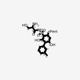 CCCCCc1cc(O)c(-c2cccc(C)c2)c(O)c1S(=O)(=O)NC(=O)C(N)CO